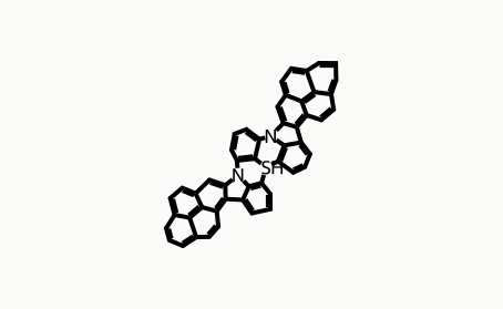 c1cc2c3c(c1)-n1c4cc5ccc6cccc7ccc(c5c67)c4c4cccc(c41)[SH]3c1cccc3c4c5ccc6cccc7ccc(cc4n-2c13)c5c76